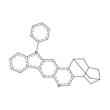 c1ccc(-n2c3ccccc3c3cc4ncc5c(c4cc32)C2CC3CC(C2)C5C3)cc1